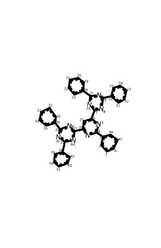 c1ccc(-c2nc(-c3nc(-c4ccccc4)nc(-c4ccccc4)n3)cc(-c3nc(-c4ccccc4)nc(-c4ccccc4)n3)n2)cc1